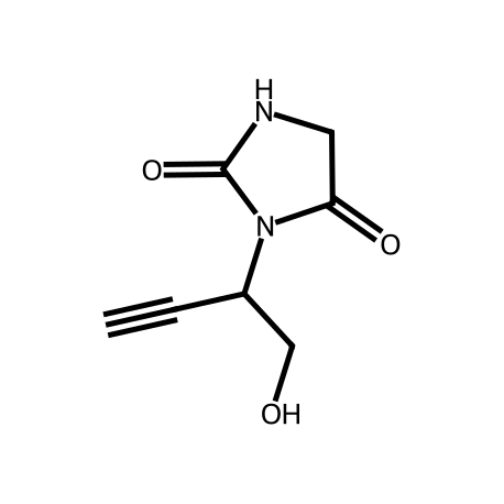 C#CC(CO)N1C(=O)CNC1=O